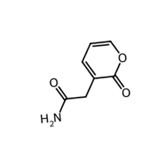 NC(=O)Cc1cccoc1=O